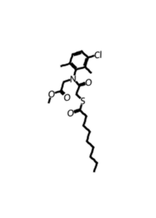 CCCCCCCCC(=O)SCC(=O)N(CC(=O)OC)c1c(C)ccc(Cl)c1C